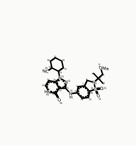 COCC(C)(C)N1Cc2cc(Nc3nn(C4CCCCC4C#N)c4cc[nH]c(=O)c34)ccc2S1(=O)=O